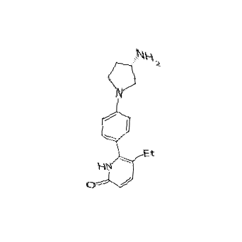 CCc1ccc(=O)[nH]c1-c1ccc(N2CC[C@H](N)C2)cc1